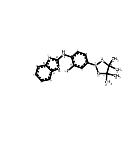 CC1(C)OB(c2ccc(Nc3nc4ccccc4s3)c(F)c2)OC1(C)C